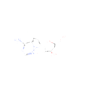 C[C@@]1(O)[C@H](O)[C@@H](CO)O[C@H]1c1cc(F)c2c(N)ncnn12